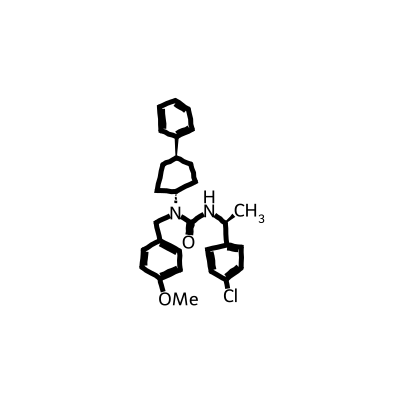 COc1ccc(CN(C(=O)N[C@@H](C)c2ccc(Cl)cc2)[C@H]2CC[C@H](c3ccccc3)CC2)cc1